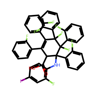 O=C(O)C1C(c2ccccc2F)=C(c2ccccc2F)C(F)(c2ccccc2F)C(F)(c2ccccc2F)C1(Nc1ccc(I)cc1F)c1ccccc1F